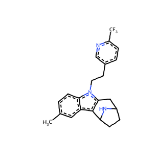 Cc1ccc2c(c1)c1c(n2CCc2ccc(C(F)(F)F)nc2)CC2CCC1N2